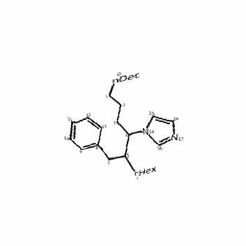 CCCCCCCCCCCCCC(C(CCCCCC)Cc1ccccc1)n1ccnc1